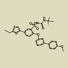 CCc1nc(-c2ccc(Oc3cccc(-c4ccc(OC)cc4)c3)c(S(=O)(=O)NC(=O)NC(C)(C)C)c2)cs1